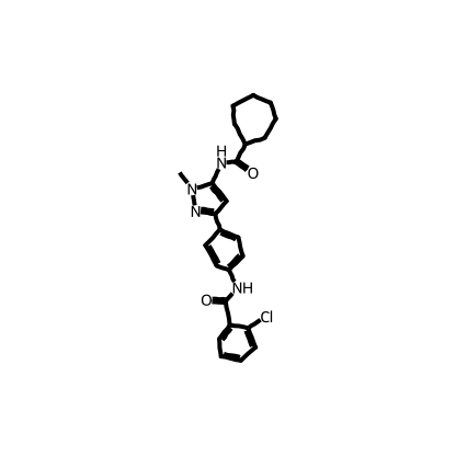 Cn1nc(-c2ccc(NC(=O)c3ccccc3Cl)cc2)cc1NC(=O)C1CCCCCC1